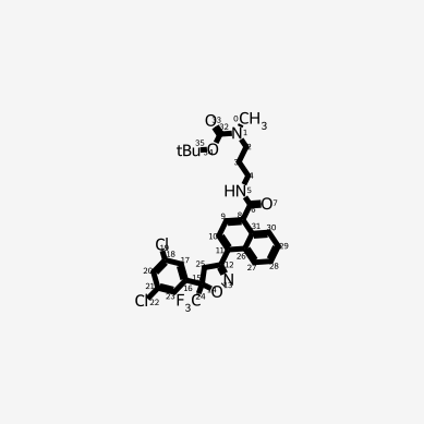 CN(CCCNC(=O)c1ccc(C2=NOC(c3cc(Cl)cc(Cl)c3)(C(F)(F)F)C2)c2ccccc12)C(=O)OC(C)(C)C